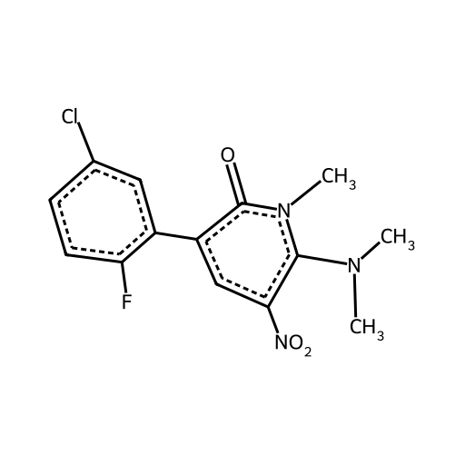 CN(C)c1c([N+](=O)[O-])cc(-c2cc(Cl)ccc2F)c(=O)n1C